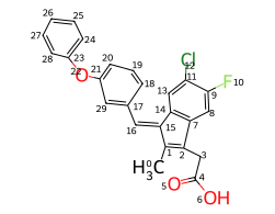 CC1=C(CC(=O)O)c2cc(F)c(Cl)cc2/C1=C\c1cccc(Oc2ccccc2)c1